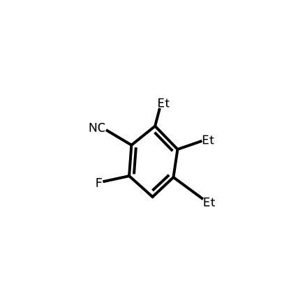 CCc1cc(F)c(C#N)c(CC)c1CC